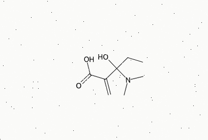 C=C(C(=O)O)C(O)(CC)N(C)C